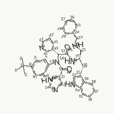 CC(C)(C)c1ccc(N(C(=O)c2cnc[nH]2)C(C(=O)N[C@@H](CNCc2ccccc2)Cc2c[nH]c3ccccc23)c2cccnc2)cc1